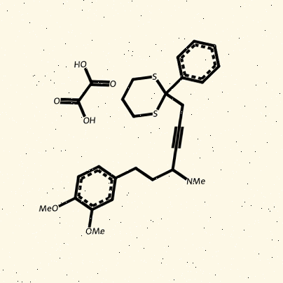 CNC(C#CCC1(c2ccccc2)SCCCS1)CCc1ccc(OC)c(OC)c1.O=C(O)C(=O)O